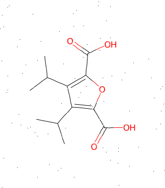 CC(C)c1c(C(=O)O)oc(C(=O)O)c1C(C)C